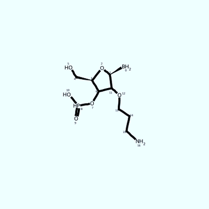 B[C@@H]1O[C@H](CO)C(O[PH](=O)O)C1OCCCN